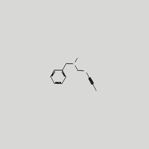 CC#COCN(Cc1ccccc1)C(C)C.Cl